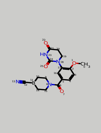 COc1ccc(C(=O)N2CCB(C#N)CC2)cc1N1CCC(=O)NC1=O